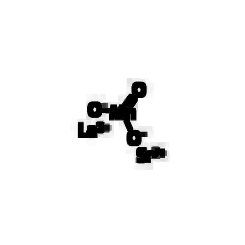 [La+3].[O]=[Mn]([O-])[O-].[Sr+2]